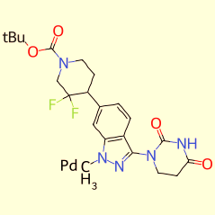 Cn1nc(N2CCC(=O)NC2=O)c2ccc(C3CCN(C(=O)OC(C)(C)C)CC3(F)F)cc21.[Pd]